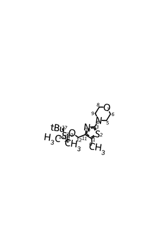 Cc1sc(N2CCOCC2)nc1CO[Si](C)(C)C(C)(C)C